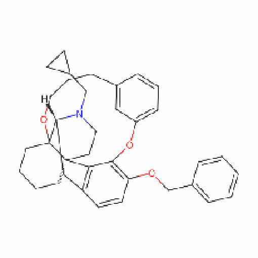 c1ccc(COc2ccc3c4c2Oc2cccc(c2)CCCOC25CCCC[C@]42CCN(CC2CC2)[C@@H]5C3)cc1